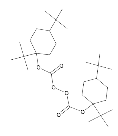 CC(C)(C)C1CCC(OC(=O)OOC(=O)OC2(C(C)(C)C)CCC(C(C)(C)C)CC2)(C(C)(C)C)CC1